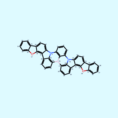 c1cc2c3c(c1)-n1c4ccc5c6ccccc6oc5c4c4cccc(c41)B3c1cccc3c4c5oc6ccccc6c5ccc4n-2c13